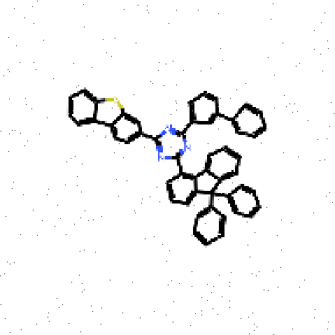 c1ccc(-c2cccc(-c3nc(-c4ccc5c(c4)sc4ccccc45)nc(-c4cccc5c4-c4ccccc4C5(c4ccccc4)c4ccccc4)n3)c2)cc1